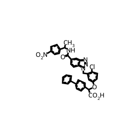 CC(NC(=O)c1ccc2c(c1)nnn2Cc1cc(OC(C(=O)O)c2ccc(-c3ccccc3)cc2)ccc1Cl)c1ccc([N+](=O)[O-])cc1